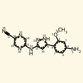 COc1cc(N)ccc1-c1cc(Nc2cnc(C#N)cn2)n[nH]1